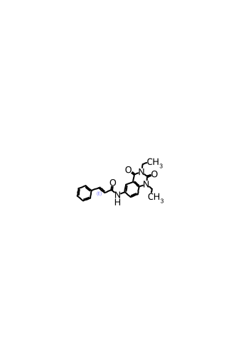 CCn1c(=O)c2cc(NC(=O)/C=C/c3ccccc3)ccc2n(CC)c1=O